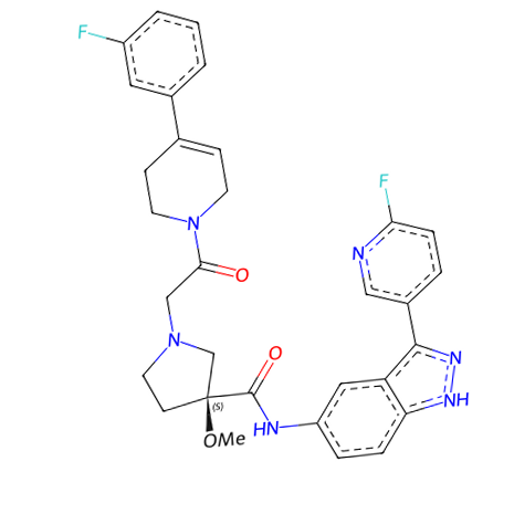 CO[C@@]1(C(=O)Nc2ccc3[nH]nc(-c4ccc(F)nc4)c3c2)CCN(CC(=O)N2CC=C(c3cccc(F)c3)CC2)C1